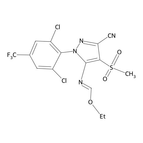 CCOC=Nc1c(S(C)(=O)=O)c(C#N)nn1-c1c(Cl)cc(C(F)(F)F)cc1Cl